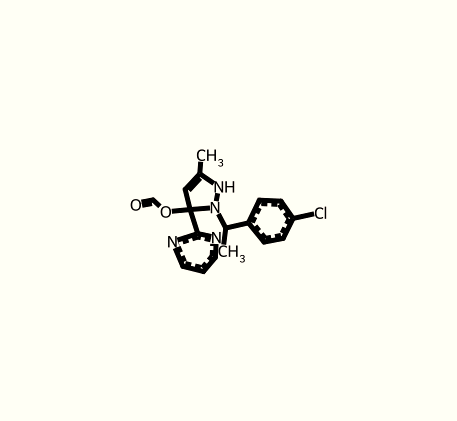 CC1=CC(OC=O)(c2ncccn2)N(C(C)c2ccc(Cl)cc2)N1